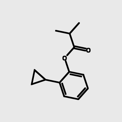 CC(C)C(=O)Oc1ccccc1C1CC1